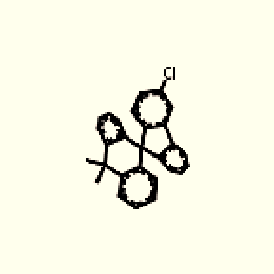 CC1(C)c2ccccc2C2(c3ccccc3-c3cc(Cl)ccc32)c2ccccc21